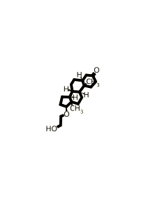 C[C@]12CCC(=O)C[C@@H]1CC[C@@H]1[C@@H]2CC[C@]2(C)[C@@H](OCCO)CC[C@@H]12